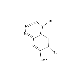 CCc1cc2c(Br)cnnc2cc1OC